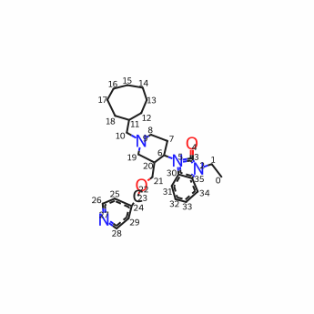 CCn1c(=O)n(C2CCN(CC3CCCCCCC3)CC2COCc2ccncc2)c2ccccc21